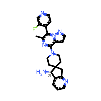 Cc1nc(N2CCC3(CC2)Cc2ncccc2[C@H]3N)c2ccnn2c1-c1ccncc1F